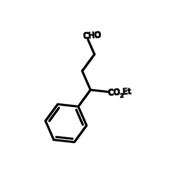 CCOC(=O)C(CCC=O)c1ccccc1